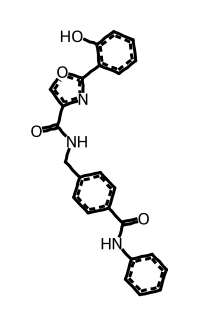 O=C(Nc1ccccc1)c1ccc(CNC(=O)c2coc(-c3ccccc3O)n2)cc1